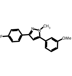 COc1cccc(-c2cc(-c3ccc(F)cc3)nn2C)c1